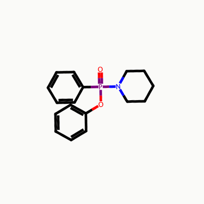 O=P(Oc1ccccc1)(c1ccccc1)N1CCCCC1